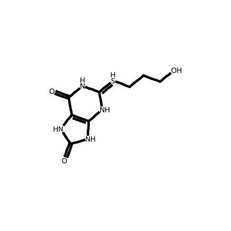 O=c1[nH]c2[nH]c(=[SH]CCCO)[nH]c(=O)c2[nH]1